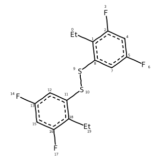 CCc1c(F)cc(F)cc1SSc1cc(F)cc(F)c1CC